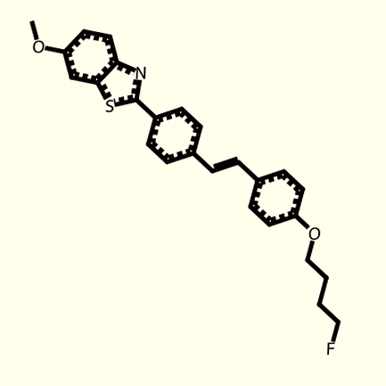 COc1ccc2nc(-c3ccc(/C=C/c4ccc(OCCCCF)cc4)cc3)sc2c1